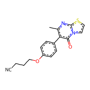 Cc1nc2sccn2c(=O)c1-c1ccc(OCCCC#N)cc1